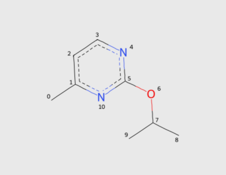 Cc1ccnc(OC(C)C)n1